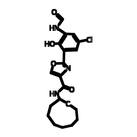 O=CNc1cc(Cl)cc(-c2nc(C(=O)NC3CCCCCCCC3)co2)c1O